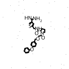 N=C(N)c1csc(CNC(=O)[C@@H]2CCCN2C(=O)COCc2ccc(Oc3ccccc3)cc2)c1